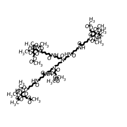 CC(=O)NC1C(OCCCCC(=O)NCCCC(=O)NCCCN(CCCCN(CCCNC(=O)CCCNC(=O)CCCCOC2OC(COC(C)=O)C(OC(C)=O)C(OC(C)=O)C2NC(C)=O)C(=O)C(O)COP(C)(C)=O)C(=O)CCCNC(=O)CCCCOC2OC(COC(C)=O)C(OC(C)=O)C(OC(C)=O)C2NC(C)=O)OC(COC(C)=O)C(OC(C)=O)C1OC(C)=O